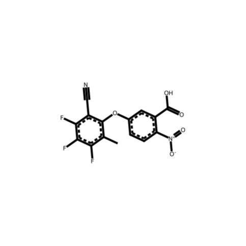 Cc1c(F)c(F)c(F)c(C#N)c1Oc1ccc([N+](=O)[O-])c(C(=O)O)c1